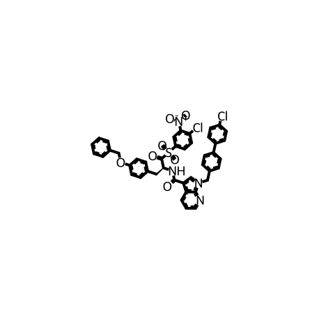 O=C(N[C@@H](Cc1ccc(OCc2ccccc2)cc1)C(=O)S(=O)(=O)c1ccc(Cl)c([N+](=O)[O-])c1)c1cn(Cc2ccc(-c3ccc(Cl)cc3)cc2)c2ncccc12